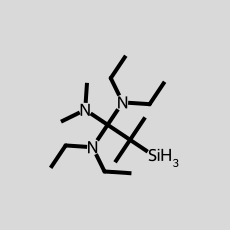 CCN(CC)C(N(C)C)(N(CC)CC)C(C)(C)[SiH3]